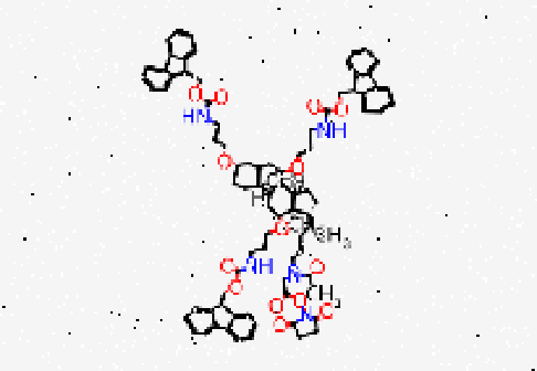 CC(=O)N(CCC[C@@H](C)[C@H]1CC[C@H]2C3C(OCCCNC(=O)OCC4c5ccccc5-c5ccccc54)CC4C[C@H](OCCCNC(=O)OCC5c6ccccc6-c6ccccc65)CC[C@]4(C)[C@H]3C[C@H](OCCCNC(=O)OCC3c4ccccc4-c4ccccc43)[C@]12C)CC(=O)ON1C(=O)CCC1=O